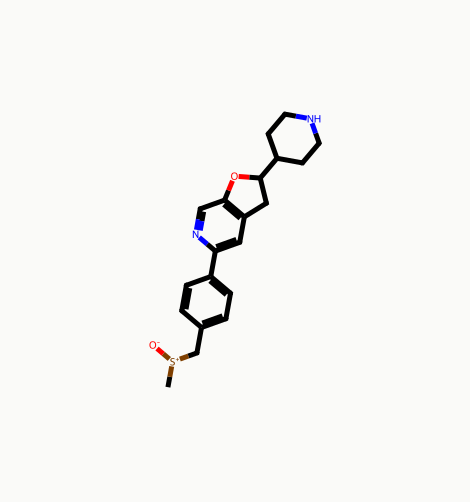 C[S+]([O-])Cc1ccc(-c2cc3c(cn2)OC(C2CCNCC2)C3)cc1